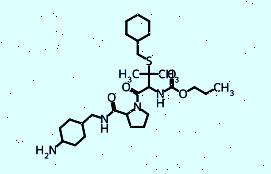 CCCOC(=O)NC(C(=O)N1CCCC1C(=O)NCC1CCC(N)CC1)C(C)(C)SCC1CCCCC1